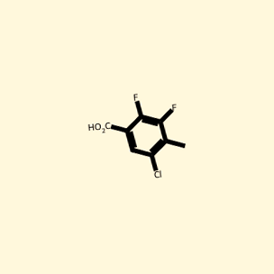 Cc1c(Cl)cc(C(=O)O)c(F)c1F